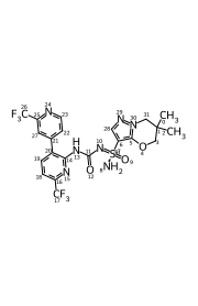 CC1(C)COc2c([S@](N)(=O)=NC(=O)Nc3nc(C(F)(F)F)ccc3-c3ccnc(C(F)(F)F)c3)cnn2C1